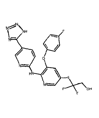 OCC(F)(F)Sc1cnc(Nc2ccc(-c3nnn[nH]3)cn2)c(Oc2ccc(F)cc2)c1